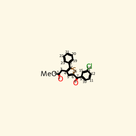 COC(=O)Cc1cc(C(=O)c2cccc(Cl)c2)sc1-c1ccccc1